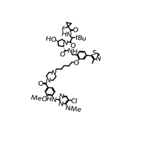 CNc1nc(Nc2ccc(C(=O)N3CCN(CCCCCOc4cc(-c5scnc5C)ccc4CNC(=O)[C@@H]4C[C@@H](O)CN4C(=O)C(NC(=O)C4(F)CC4)C(C)(C)C)CC3)cc2OC)ncc1Cl